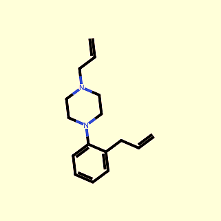 C=CCc1ccccc1N1CCN(CC=C)CC1